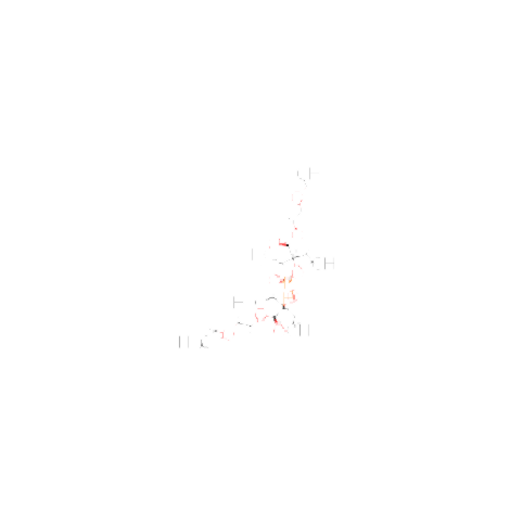 CCOCCOC(=O)C(CC)(CC)O[PH](=O)OC(CC)(CC)C(=O)OCCOCC